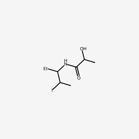 CCC(NC(=O)C(C)O)C(C)I